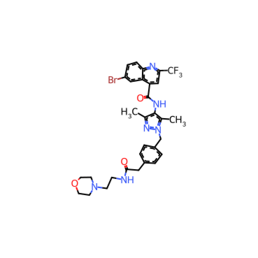 Cc1nn(Cc2ccc(CC(=O)NCCN3CCOCC3)cc2)c(C)c1NC(=O)c1cc(C(F)(F)F)nc2ccc(Br)cc12